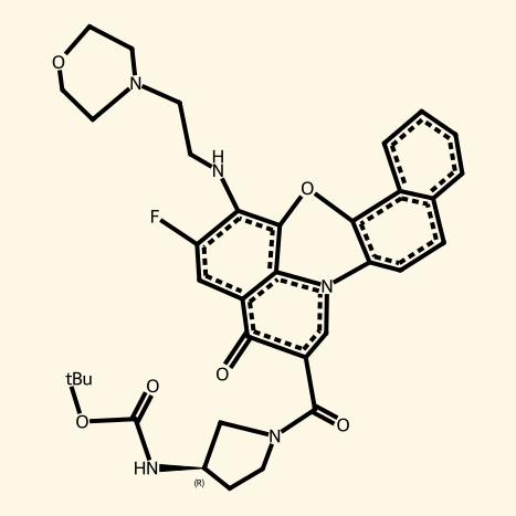 CC(C)(C)OC(=O)N[C@@H]1CCN(C(=O)c2cn3c4c(c(NCCN5CCOCC5)c(F)cc4c2=O)Oc2c-3ccc3ccccc23)C1